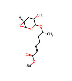 C[C@H](CC/C=C/C(=O)OC(C)(C)C)OC1OC2O[C@@H]2CC1O